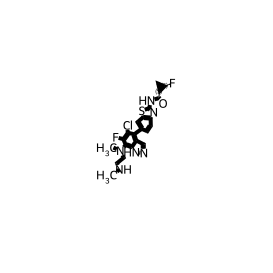 CNCCN(C)c1c(F)c(Cl)c(-c2ccc3nc(NC(=O)[C@@H]4C[C@@H]4F)sc3c2)c2cn[nH]c12